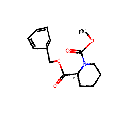 CC(C)(C)OC(=O)N1CCCC[C@H]1C(=O)OCc1ccccc1